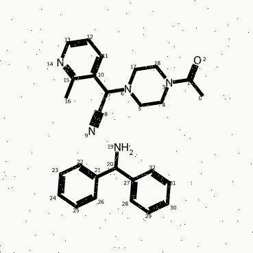 CC(=O)N1CCN(C(C#N)c2cccnc2C)CC1.NC(c1ccccc1)c1ccccc1